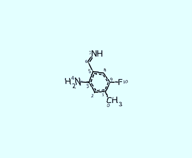 Cc1cc(N)c(C=N)cc1F